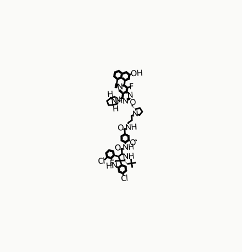 C#Cc1cccc2cc(O)cc(-c3ncc4c(N5C[C@H]6CC[C@@H](C5)N6)nc(OC[C@@H]5CCCN5CCCNC(=O)c5ccc(NC(=O)C6N[C@H](CC(C)(C)C)C7(CNc8cc(Cl)ccc87)C6c6cccc(Cl)c6F)c(OC)c5)nc4c3F)c12